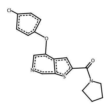 O=C(c1cc2c(Oc3ccc(Cl)cc3)cncc2s1)N1CCCC1